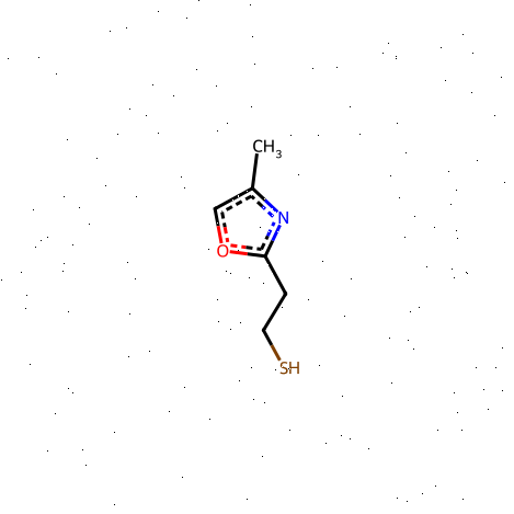 Cc1coc(CCS)n1